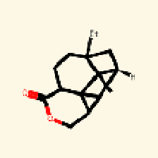 CCC12CCC3C(=O)OCC4[C@@H](C1)C2(C)C34C